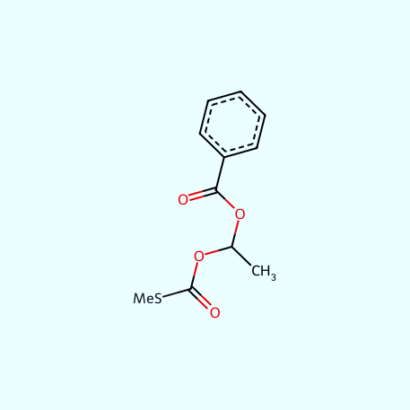 CSC(=O)OC(C)OC(=O)c1ccccc1